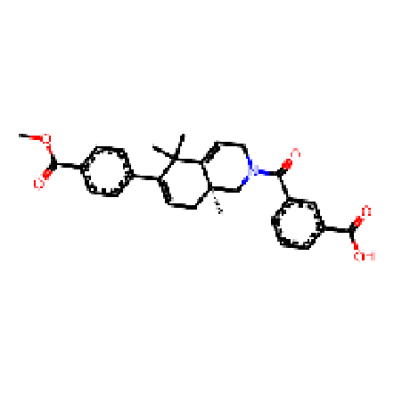 COC(=O)c1ccc(C2=CC[C@]3(C)CN(C(=O)c4cccc(C(=O)O)c4)CC=C3C2(C)C)cc1